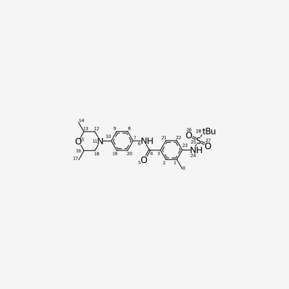 Cc1cc(C(=O)Nc2ccc(N3CC(C)OC(C)C3)cc2)ccc1NS(=O)(=O)C(C)(C)C